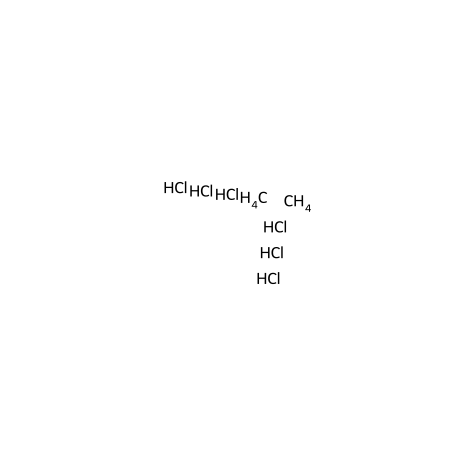 C.C.Cl.Cl.Cl.Cl.Cl.Cl